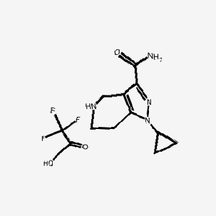 NC(=O)c1nn(C2CC2)c2c1CNCC2.O=C(O)C(F)(F)F